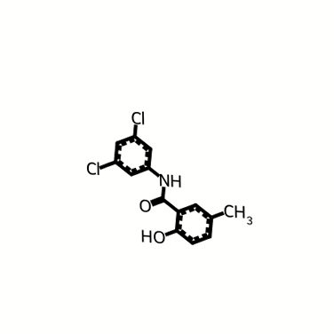 Cc1ccc(O)c(C(=O)Nc2cc(Cl)cc(Cl)c2)c1